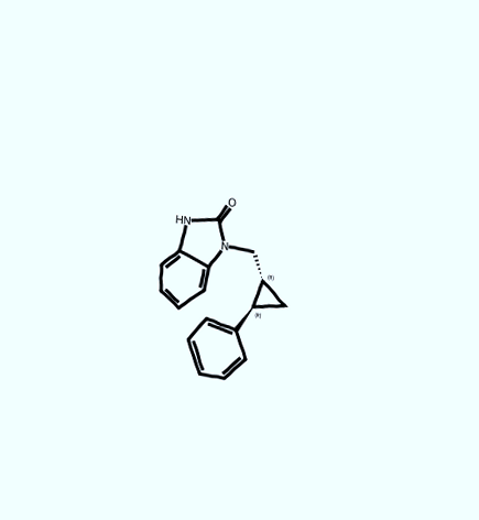 O=c1[nH]c2ccccc2n1C[C@@H]1C[C@H]1c1ccccc1